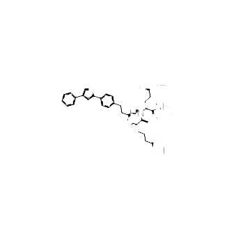 C=C(N[C@@H](CCC(=O)O)C(N)=O)[C@H](CCCC(=O)O)NC(=O)CCc1ccc(-c2cc(-c3ccccc3)cs2)cc1